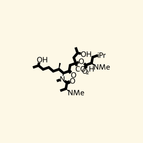 CN[C@H](C)C(=O)N(C)[C@@H](C(=O)CC(CC(C)O)(OC(=O)[C@@H](CC(C)C)NC)C(=O)O)[C@H](C)CCCC(C)O